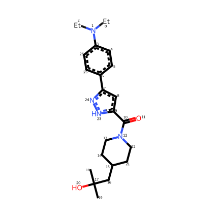 CCN(CC)c1ccc(-c2cc(C(=O)N3CCC(CC(C)(C)O)CC3)[nH]n2)cc1